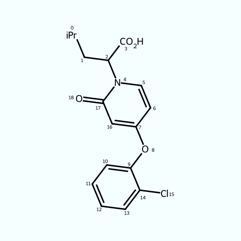 CC(C)CC(C(=O)O)n1ccc(Oc2ccccc2Cl)cc1=O